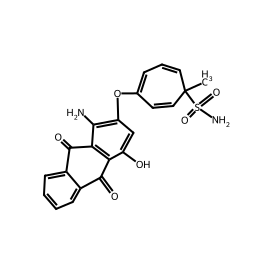 CC1(S(N)(=O)=O)C=CC=C(Oc2cc(O)c3c(c2N)C(=O)c2ccccc2C3=O)C=C1